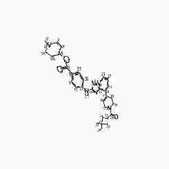 CN1CCC(OC(=O)c2ccc(Nc3nc4c(C5=CCN(C(=O)C6CC(C)(C)C6)CC5)cccn4n3)cc2)CC1